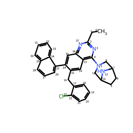 CCc1nc(N2CC3CCC(C2)N3)c2cc(Cc3ccccc3Cl)c(-c3cccc4ccccc34)cc2n1